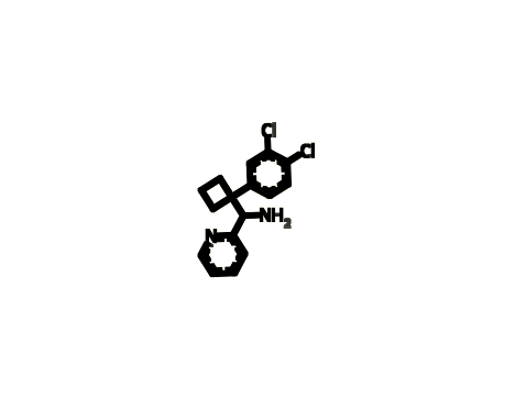 NC(c1ccccn1)C1(c2ccc(Cl)c(Cl)c2)CCC1